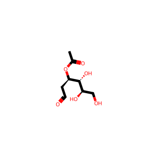 CC(=O)O[C@H](CC=O)[C@H](O)[C@H](O)CO